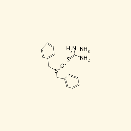 N.NC(N)=S.[O-][S+](Cc1ccccc1)Cc1ccccc1